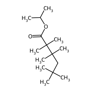 CC(C)OC(=O)C(C)(C)C(C)(C)CC(C)(C)C